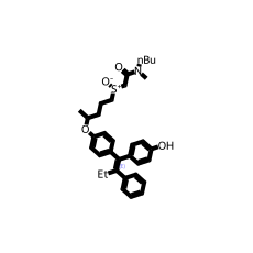 CCCCN(C)C(=O)C[S+]([O-])CCCC(C)Oc1ccc(/C(=C(\CC)c2ccccc2)c2ccc(O)cc2)cc1